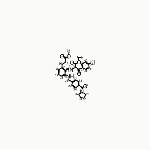 CCOC(=O)C(NCc1c(CCC(=O)OC)cccc1NCc1ccc(C(=O)N2CCCC2)cc1)C(=O)c1ccc(Cl)cc1